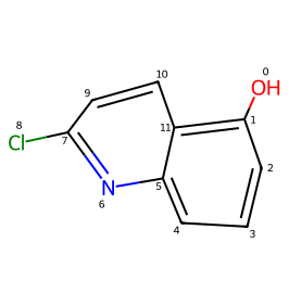 Oc1cccc2nc(Cl)ccc12